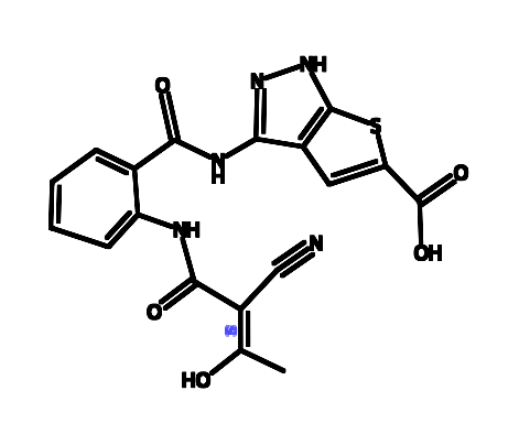 C/C(O)=C(\C#N)C(=O)Nc1ccccc1C(=O)Nc1n[nH]c2sc(C(=O)O)cc12